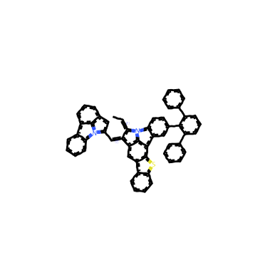 C/C=c1\c(=C/c2cc3cccc4c5ccccc5n2c34)c2cc3c4ccccc4sc3c3c4cc(-c5c(-c6ccccc6)cccc5-c5ccccc5)ccc4n1c23